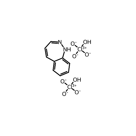 C1=Cc2ccccc2NN=C1.[O-][Cl+3]([O-])([O-])O.[O-][Cl+3]([O-])([O-])O